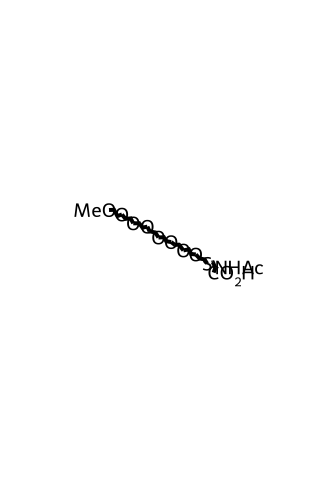 COCCOCCOCCOCCOCCOCCOCCOCCSCC(NC(C)=O)C(=O)O